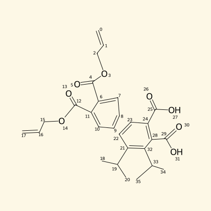 C=CCOC(=O)c1ccccc1C(=O)OCC=C.CC(C)c1ccc(C(=O)O)c(C(=O)O)c1C(C)C